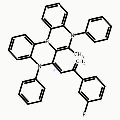 C=C(/C=C1\C2=C(C)N(c3ccccc3)c3ccccc3B2c2ccccc2N1c1ccccc1)c1cccc(F)c1